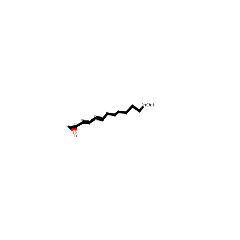 CCCCCCCCCCCCCCC=CC=CC1=CO1